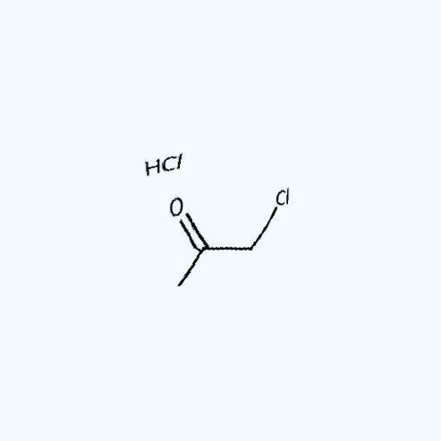 CC(=O)CCl.Cl